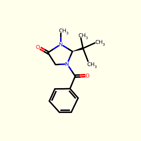 CN1C(=O)CN(C(=O)c2ccccc2)[C@@H]1C(C)(C)C